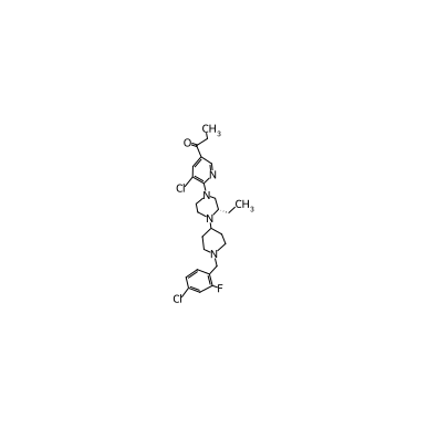 CCC(=O)c1cnc(N2CCN(C3CCN(Cc4ccc(Cl)cc4F)CC3)[C@@H](CC)C2)c(Cl)c1